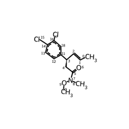 CC=C[C@@H](CC(=O)N(C)OC)c1ccc(Cl)c(Cl)c1